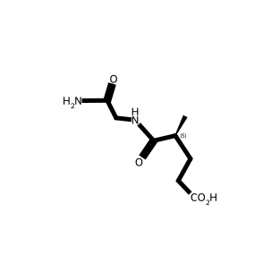 C[C@@H](CCC(=O)O)C(=O)NCC(N)=O